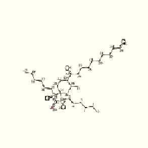 CCCCCCP(=O)(CC)C1(P(=O)(CC)CCCCCC)CC[C](C(=O)CCCCCCCCC=O)C(C)C1